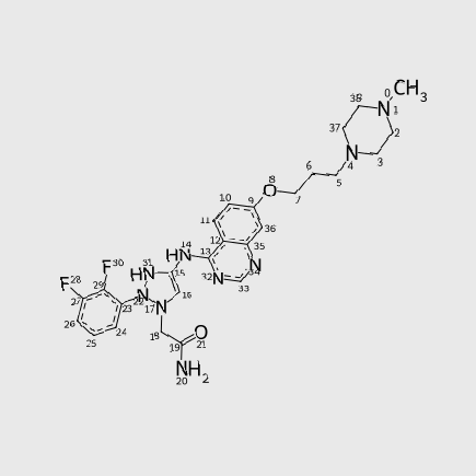 CN1CCN(CCCOc2ccc3c(NC4=CN(CC(N)=O)N(c5cccc(F)c5F)N4)ncnc3c2)CC1